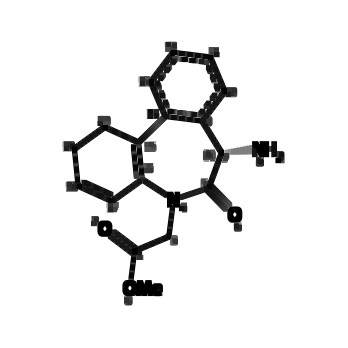 COC(=O)CN1C(=O)[C@@H](N)c2ccccc2C2=C1C=CCC2